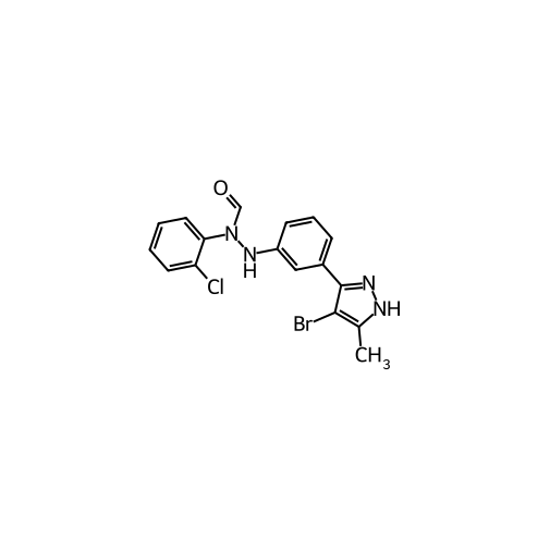 Cc1[nH]nc(-c2cccc(NN(C=O)c3ccccc3Cl)c2)c1Br